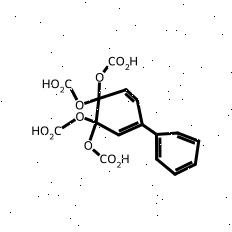 O=C(O)OC1(OC(=O)O)C=CC(c2ccccc2)=CC1(OC(=O)O)OC(=O)O